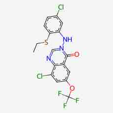 CCSc1ccc(Cl)cc1Nn1cnc2c(Cl)cc(OC(F)(F)F)cc2c1=O